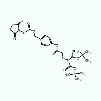 CC(C)(C)OC(=O)N(OCC(=O)Oc1ccc(COC(=O)ON2C(=O)CCC2=O)cc1)C(=O)OC(C)(C)C